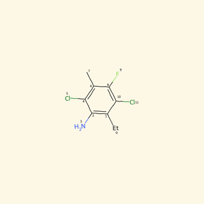 CCc1c(N)c(Cl)c(C)c(F)c1Cl